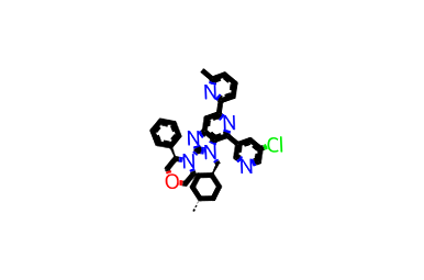 Cc1cccc(-c2cc3nc(N4CCOC[C@H]4c4ccccc4)n(C[C@H]4CC[C@H](C)CC4)c3c(-c3cncc(Cl)c3)n2)n1